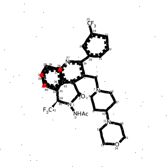 CC(=O)NN(C(=O)c1c(CN2CCC(N3CCOCC3)CC2)c(-c2cccc(C(F)(F)F)c2)nc2ccccc12)[C@H](c1ccccc1)C(F)(F)F